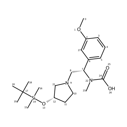 COc1cccc([C@@H](CN2CC[C@H](O[Si](C)(C)C(C)(C)C)C2)N(C)C(=O)O)c1